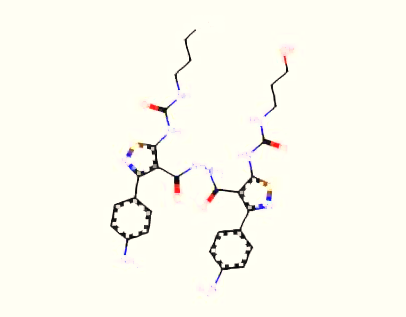 CC(=O)OCCCNC(=O)Nc1snc(-c2ccc(N)cc2)c1C(N)=O.NC(=O)c1c(-c2ccc(N)cc2)nsc1NC(=O)NCCCO